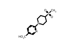 CS(=O)(=O)C1CCN(c2ccc(C(=O)O)cn2)CC1